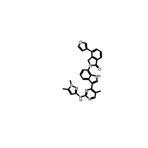 Cc1cnc(Nc2cc(C)n(C)n2)nc1-c1c[nH]c2c(N3Cc4c(cccc4-c4ccoc4)C3=O)cccc12